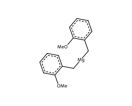 COc1ccccc1[CH2][Mg][CH2]c1ccccc1OC